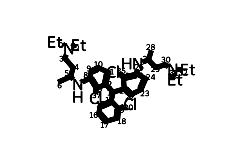 CCN(CC)CCC(C)Nc1cccc(C(c2ccccc2Cl)c2cccc(NC(C)CCN(CC)CC)c2Cl)c1Cl